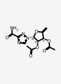 C=C1O[C@@H](n2cnc(C(N)=O)n2)[C@H](OC(C)=O)[C@@H]1OC(C)=O